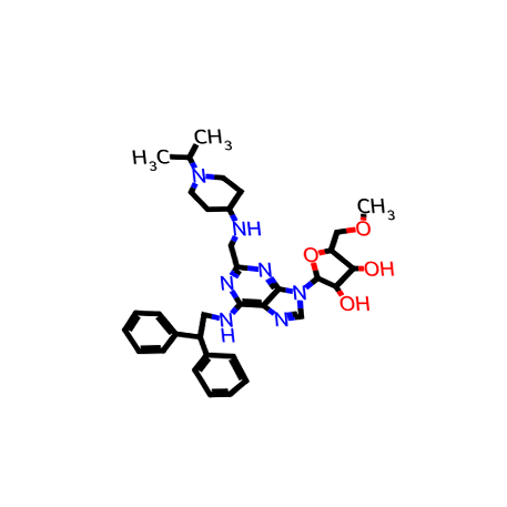 COCC1OC(n2cnc3c(NCC(c4ccccc4)c4ccccc4)nc(CNC4CCN(C(C)C)CC4)nc32)C(O)C1O